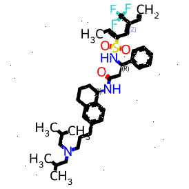 C=C/C(=C/C(=CC)S(=O)(=O)N[C@H](CC(=O)N[C@@H]1CCCc2cc(CCCN(CC(C)C)CC(C)C)ccc21)c1ccccc1)C(F)(F)F